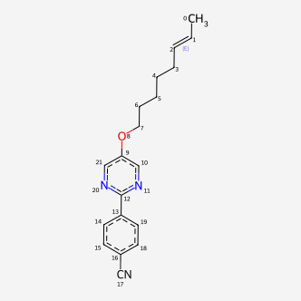 C/C=C/CCCCCOc1cnc(-c2ccc(C#N)cc2)nc1